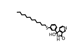 CCCCCCCCCCCCSc1cccc(C2(O)NC(=O)c3cnccc32)c1